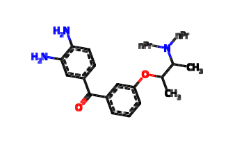 CCCN(CCC)C(C)C(C)Oc1cccc(C(=O)c2ccc(N)c(N)c2)c1